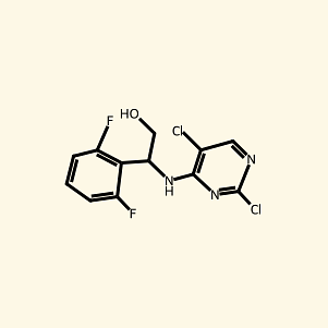 OCC(Nc1nc(Cl)ncc1Cl)c1c(F)cccc1F